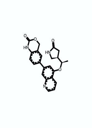 C[C@@H](Oc1cc(-c2ccc3c(c2)COC(=O)N3)cc2ncccc12)[C@H]1CNC(=O)C1